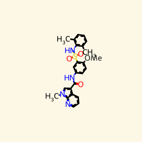 COc1ccc(NC(=O)c2cn(C)c3ncccc23)cc1S(=O)(=O)Nc1c(C)cccc1C